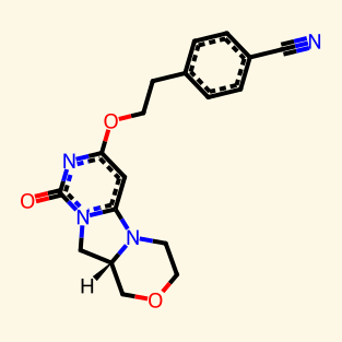 N#Cc1ccc(CCOc2cc3n(c(=O)n2)C[C@H]2COCCN32)cc1